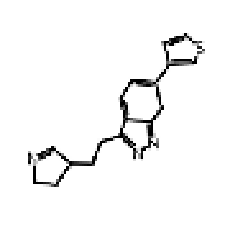 C1=NCCC1CCC1=NN=C2CC(c3ccsc3)=CC=C12